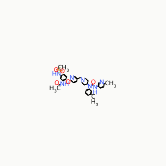 CC(=O)Nc1cc(NS(C)(=O)=O)ccc1Oc1ccc(CN2CCC(N(C(=O)Nc3ccc(C)nc3)c3cccc(C)c3)CC2)cn1